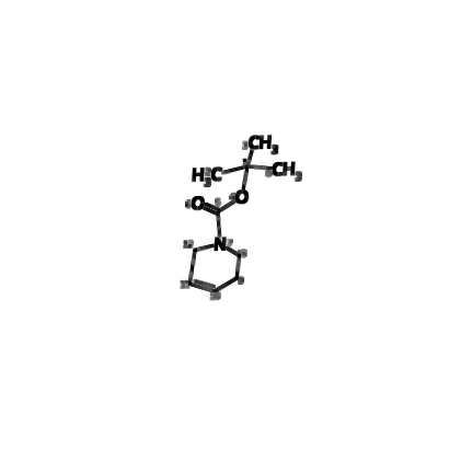 CC(C)(C)OC(=O)N1[CH]CC=CC1